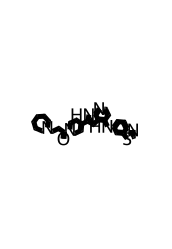 O=C(CCN1CCCCCC1)N1CC=C(c2cc3c(Nc4ccc5ncsc5c4)ccnc3[nH]2)CC1